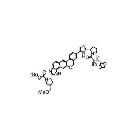 COC[C@H]1C[C@@H](c2nc3ccc4cc5c(cc4c3[nH]2)OCc2cc(-c3cnc([C@@H]4CCCN4C(=O)[C@@H](NC4OCO4)C(C)C)[nH]3)ccc2-5)N(C(=O)OC(C)(C)C)C1